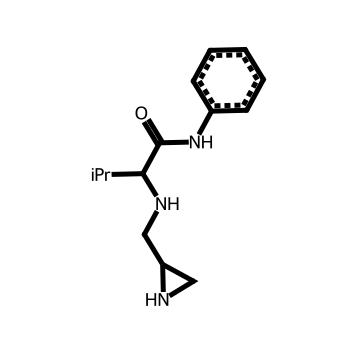 CC(C)C(NCC1CN1)C(=O)Nc1ccccc1